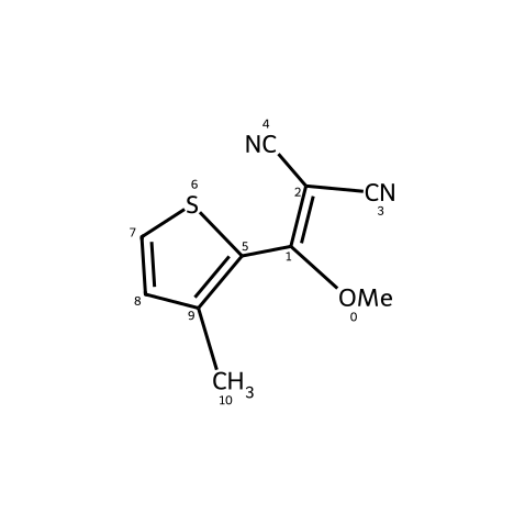 COC(=C(C#N)C#N)c1sccc1C